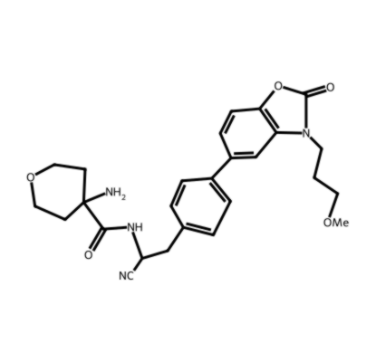 COCCCn1c(=O)oc2ccc(-c3ccc(CC(C#N)NC(=O)C4(N)CCOCC4)cc3)cc21